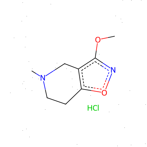 COc1noc2c1CN(C)CC2.Cl